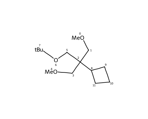 COCC(COC)(COC(C)(C)C)C1CCC1